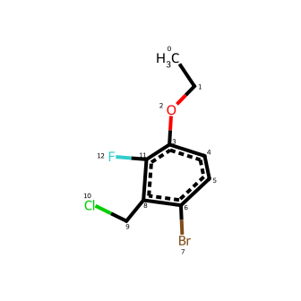 CCOc1ccc(Br)c(CCl)c1F